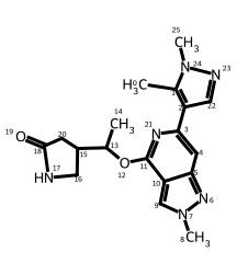 Cc1c(-c2cc3nn(C)cc3c(OC(C)C3CNC(=O)C3)n2)cnn1C